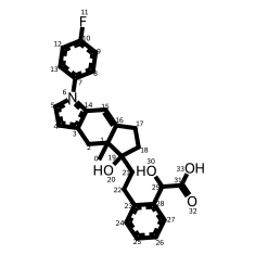 CC12Cc3ccn(-c4ccc(F)cc4)c3C=C1CCC2(O)CCc1ccccc1C(O)C(=O)O